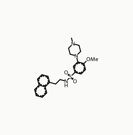 COc1ccc(S(=O)(=O)NCCc2cccc3ccccc23)cc1N1CCN(C)CC1